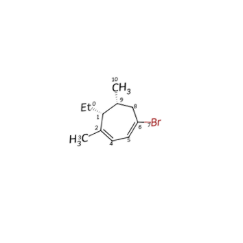 CC[C@H]1C(C)=CC=C(Br)C[C@H]1C